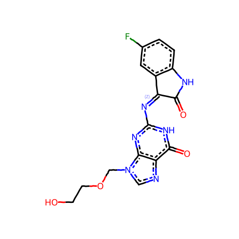 O=C1Nc2ccc(F)cc2/C1=N/c1nc2c(ncn2COCCO)c(=O)[nH]1